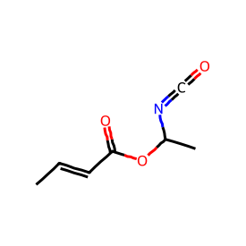 C/C=C/C(=O)OC(C)N=C=O